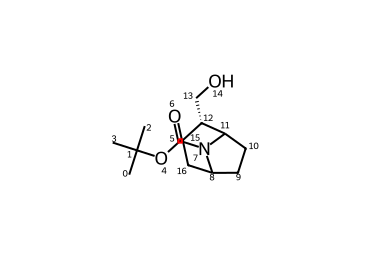 CC(C)(C)OC(=O)N1C2CCC1[C@@H](CO)CC2